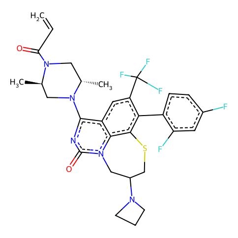 C=CC(=O)N1C[C@H](C)N(c2nc(=O)n3c4c(c(-c5ccc(F)cc5F)c(C(F)(F)F)cc24)SCC(N2CCC2)C3)C[C@H]1C